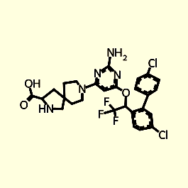 Nc1nc(OC(c2ccc(Cl)cc2-c2ccc(Cl)cc2)C(F)(F)F)cc(N2CCC3(CC2)CNC(C(=O)O)C3)n1